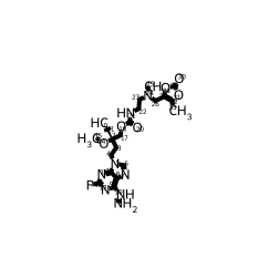 C#C[C@](CCn1cnc2c(NN)nc(F)nc21)(COC(=O)NCCN(C)Cc1oc(=O)oc1C)OC